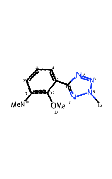 CNc1cccc(-c2nnn(C)n2)c1OC